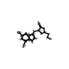 CCCC1CC(=O)N(Cc2cnc3c(Cl)cc(Cl)cn23)C1